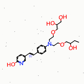 CCC(O)COCCN(CCOCC(O)CO)c1ccc(/C=C/c2ccc(O)nc2)cc1